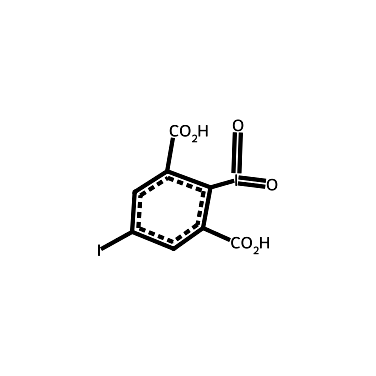 O=C(O)c1cc(I)cc(C(=O)O)c1I(=O)=O